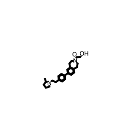 CC1CCCN1CCc1ccc(-c2ccc3c(c2)CCN(C(=O)CO)CC3)cc1